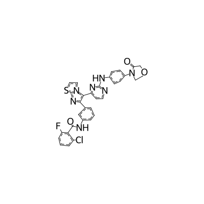 O=C(Nc1cccc(-c2nc3sccn3c2-c2ccnc(Nc3ccc(N4CCOCC4=O)cc3)n2)c1)c1c(F)cccc1Cl